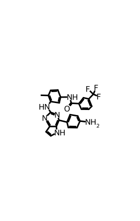 Cc1ccc(NC(=O)c2cccc(C(F)(F)F)c2)cc1Nc1nc(-c2ccc(N)cc2)c2[nH]ccc2n1